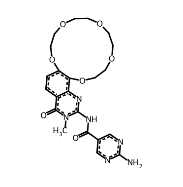 Cn1c(NC(=O)c2cnc(N)nc2)nc2c3c(ccc2c1=O)OCCOCCOCCOCCO3